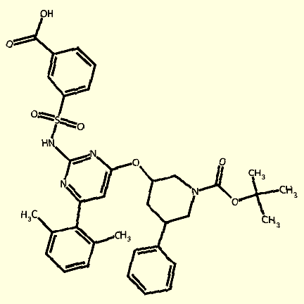 Cc1cccc(C)c1-c1cc(OC2CC(c3ccccc3)CN(C(=O)OC(C)(C)C)C2)nc(NS(=O)(=O)c2cccc(C(=O)O)c2)n1